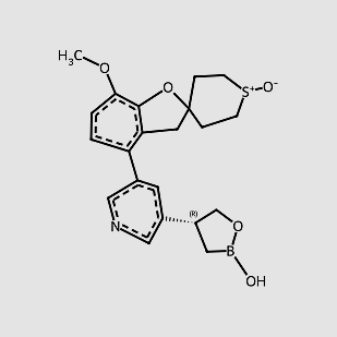 COc1ccc(-c2cncc([C@@H]3COB(O)C3)c2)c2c1OC1(CC[S+]([O-])CC1)C2